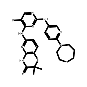 CC1(C)Oc2ccc(Nc3nc(Nc4ccc(N5CCCOCC5)nc4)ncc3F)nc2NC1=O